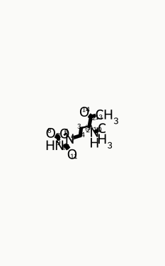 CN[C@@H](CCn1oc(=O)[nH]c1=O)C(C)=O